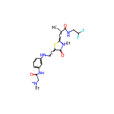 CCN(C)CC(=O)Nc1cccc(NC=C=c2sc(=C=C(C#N)C(=O)NCC(F)F)n(CC)c2=O)c1